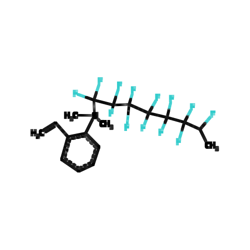 C=Cc1ccccc1[Si](C)(C)C(F)(F)C(F)(F)C(F)(F)C(F)(F)C(F)(F)C(F)(F)C(C)F